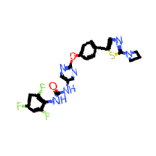 O=C(Nc1cnc(Oc2ccc(-c3cnc(N4CCC4)s3)cc2)nc1)Nc1c(F)cc(F)cc1F